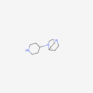 C1CC(N2CCN3CCC2CC3)CCN1